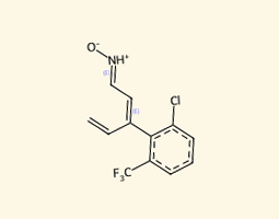 C=C/C(=C\C=[NH+]\[O-])c1c(Cl)cccc1C(F)(F)F